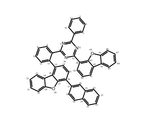 c1ccc(-c2nc(-c3ccccc3-c3ccc(-c4ccc5ccccc5c4)c4oc5ccccc5c34)nc(-c3cccc4c3oc3ccccc34)n2)cc1